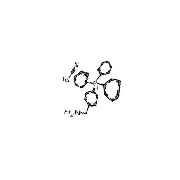 N#CS.NCc1ccc([PH](c2ccccc2)(c2ccccc2)c2ccccc2)cc1